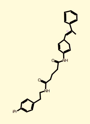 C/C(=C\C1C=CC(NC(=O)CCCC(=O)NCCc2ccc(C(C)C)cc2)=CC1)c1ccccc1